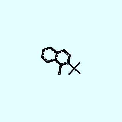 CC(C)(C)n1ncc2ccccc2c1=O